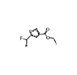 CCOC(=O)c1csc(C(F)F)c1